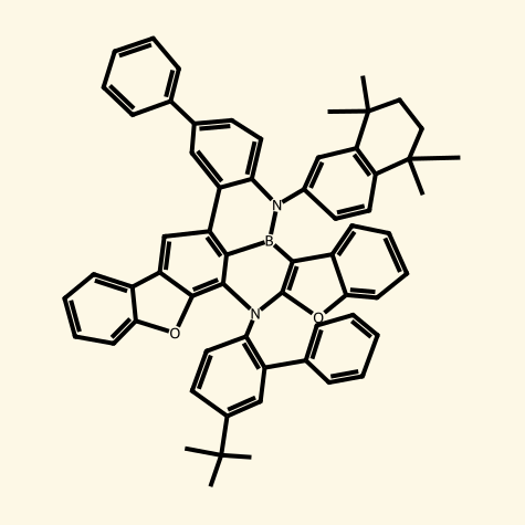 CC(C)(C)c1ccc(N2c3oc4ccccc4c3B3c4c(cc5c(oc6ccccc65)c42)-c2cc(-c4ccccc4)ccc2N3c2ccc3c(c2)C(C)(C)CCC3(C)C)c(-c2ccccc2)c1